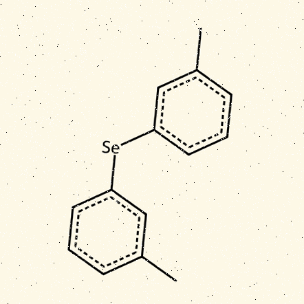 Cc1cccc([Se]c2cccc(C)c2)c1